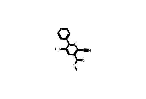 COC(=O)c1cc(N)c(-c2ccccc2)nc1C#N